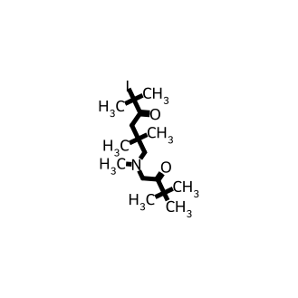 CN(CC(=O)C(C)(C)C)CC(C)(C)CC(=O)C(C)(C)I